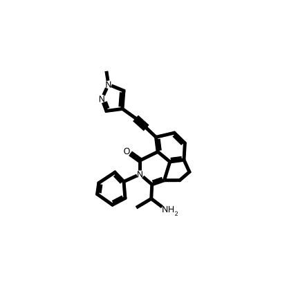 CC(N)c1c2c3c(ccc(C#Cc4cnn(C)c4)c3c(=O)n1-c1ccccc1)CC2